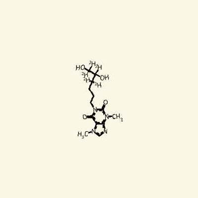 [2H]C([2H])(O)C([2H])(O)C([2H])([2H])CCCn1c(=O)c2c(ncn2C)n(C)c1=O